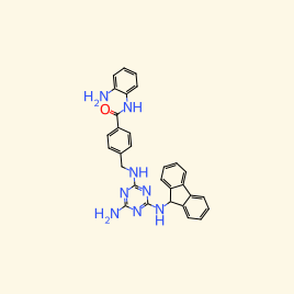 Nc1nc(NCc2ccc(C(=O)Nc3ccccc3N)cc2)nc(NC2c3ccccc3-c3ccccc32)n1